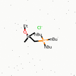 CCCC[P+](CCCC)(CCCC)C[Si](C)(C)OCC.[Cl-]